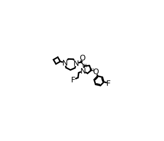 O=C([C@H]1C[C@H](Oc2cccc(F)c2)CN1CCF)N1CCCN(C2CCC2)CC1